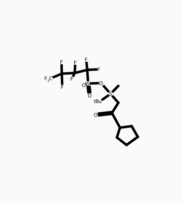 CC(C)(C)S(C)(CC(=O)C1CCCC1)OS(=O)(=O)C(F)(F)C(F)(F)C(F)(F)C(F)(F)F